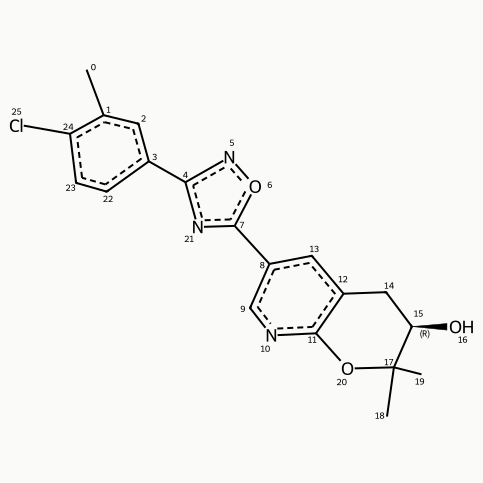 Cc1cc(-c2noc(-c3cnc4c(c3)C[C@@H](O)C(C)(C)O4)n2)ccc1Cl